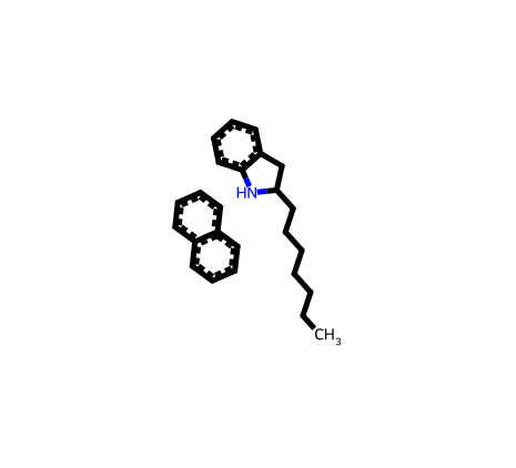 CCCCCCCC1Cc2ccccc2N1.c1ccc2ccccc2c1